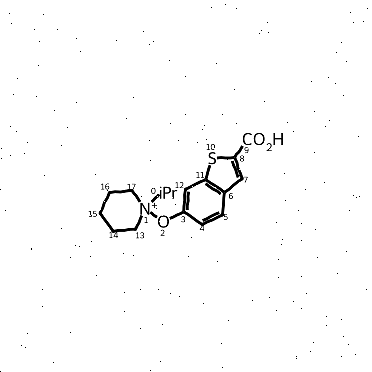 CC(C)[N+]1(Oc2ccc3cc(C(=O)O)sc3c2)CCCCC1